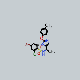 CCn1c(C(C)NS(=O)(=O)c2ccc(Br)cc2Cl)cnc1Oc1ccc(C)cc1